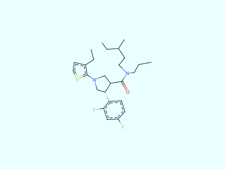 CCCN(CCC(C)CC)C(=O)C1CN(c2sccc2CC)C[C@H]1c1ccc(F)cc1F